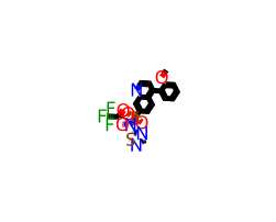 COc1ccccc1-c1ccnc2cc(S(=O)(=O)N(OC(=O)C(F)(F)F)c3ncns3)ccc12